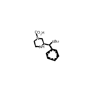 CC(C)(C)C(c1ccccc1)C1CN(C(=O)O)CCN1